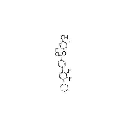 Cc1ccc(OC(=O)c2ccc(-c3ccc(C4CCCCC4)c(F)c3F)cc2)c(F)c1